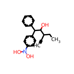 C#CC(CC)C(O)C(c1ccccc1)c1ccc(N(O)O)cc1